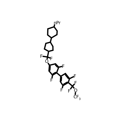 CCCC1CCC(C2CCC(C(F)(F)Oc3cc(F)c(-c4cc(F)c(C(F)(F)OC(F)(F)F)c(F)c4)c(F)c3)CC2)CC1